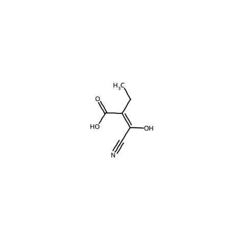 CCC(C(=O)O)=C(O)C#N